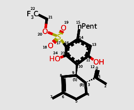 C=C(C)[C@@H]1CCC(C)=C[C@H]1c1c(O)cc(CCCCC)c(S(=O)(=O)OCC(F)(F)F)c1O